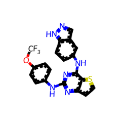 FC(F)(F)Oc1ccc(Nc2nc(Nc3ccc4[nH]ncc4c3)c3sccc3n2)cc1